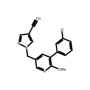 C#Cc1cnn(Cc2cnc(OC)c(-c3cccc(Cl)c3)c2)c1